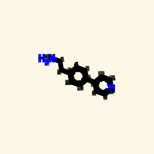 NCCc1ccc(-c2ccncc2)cc1